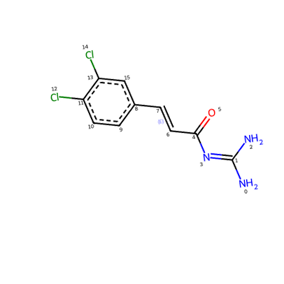 NC(N)=NC(=O)/C=C/c1ccc(Cl)c(Cl)c1